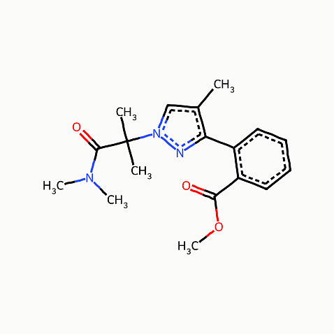 COC(=O)c1ccccc1-c1nn(C(C)(C)C(=O)N(C)C)cc1C